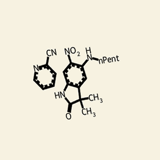 CCCCCNc1cc2c(cc1[N+](=O)[O-])NC(=O)C2(C)C.N#Cc1ccccn1